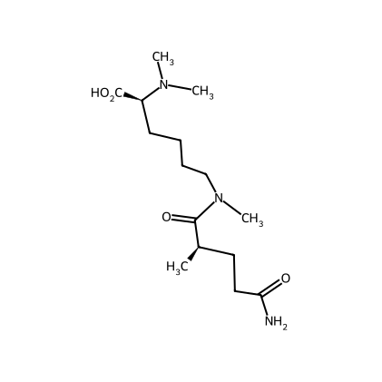 C[C@H](CCC(N)=O)C(=O)N(C)CCCC[C@@H](C(=O)O)N(C)C